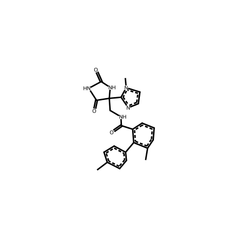 Cc1ccc(-c2c(C)cccc2C(=O)NCC2(c3nccn3C)NC(=O)NC2=O)cc1